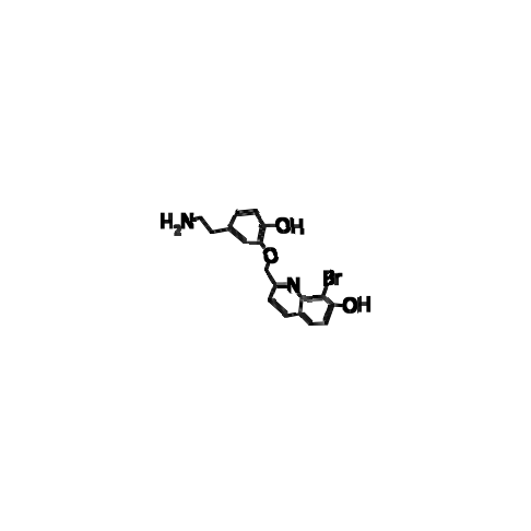 NCCc1ccc(O)c(OCc2ccc3ccc(O)c(Br)c3n2)c1